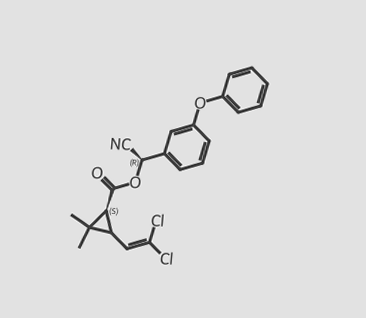 CC1(C)C(C=C(Cl)Cl)[C@@H]1C(=O)O[C@@H](C#N)c1cccc(Oc2ccccc2)c1